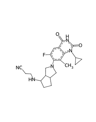 Cc1c(N2CC3CCC(NCCC#N)C3C2)c(F)cc2c(=O)[nH]c(=O)n(C3CC3)c12